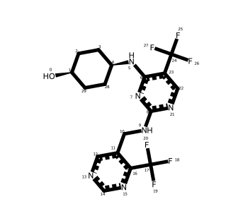 O[C@H]1CC[C@@H](Nc2nc(NCc3cncnc3C(F)(F)F)ncc2C(F)(F)F)CC1